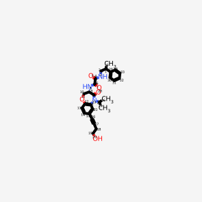 CC(CNC(=O)C(=O)N[C@H]1COc2ccc(C#CCCO)cc2N(C(C)C)C1=O)c1ccccc1